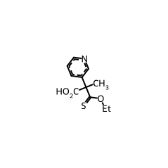 CCOC(=S)C(C)(C(=O)O)c1cccnc1